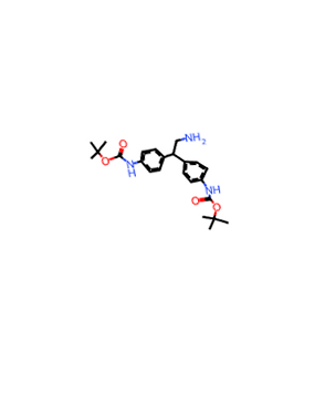 CC(C)(C)OC(=O)Nc1ccc(C(CN)c2ccc(NC(=O)OC(C)(C)C)cc2)cc1